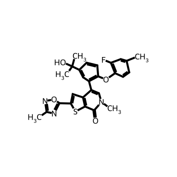 Cc1ccc(Oc2ccc(C(C)(C)O)cc2-c2cn(C)c(=O)c3sc(-c4nc(C)no4)cc23)c(F)c1